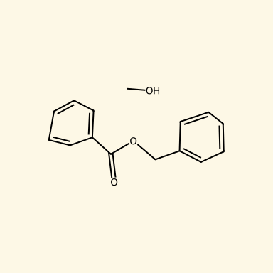 CO.O=C(OCc1ccccc1)c1ccccc1